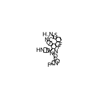 N#Cc1c(N)sc2ccc(F)c(-c3c4c(c5c(N6C7CCC6CNC7)nc(OC[C@@]67CCCN6C[C@H](F)C7)nc5c3F)COC4)c12